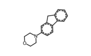 c1ccc2c(c1)Cc1cc(N3CCOCC3)ccc1-2